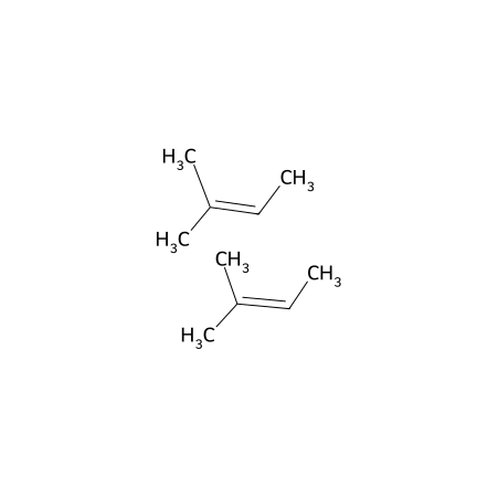 CC=C(C)C.CC=C(C)C